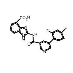 O=C(Nc1nc2c(C(=O)O)cccc2[nH]1)c1cncc(-c2ccc(F)cc2F)c1